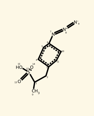 CC(Cc1ccc(N=[N+]=[N-])cc1)S(=O)(=O)O